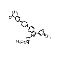 CNC1CC(n2cc(-c3cnn(C)c3)c3ccc(N4CCN(c5ccc(C(C)=O)cc5)CC4)nc32)C1